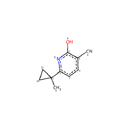 CC1(c2ccc(C#N)c(O)n2)CC1